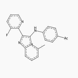 CC(=O)c1ccc(Nc2c(-c3ncccc3F)nc3cccc(C)n23)cc1